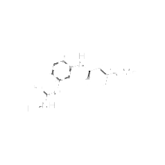 CCNC(=O)Oc1cccc(NC(=O)C=C(C)OC)c1